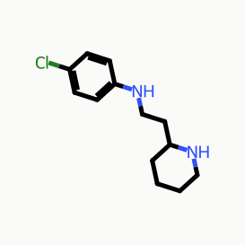 Clc1ccc(NCCC2CCCCN2)cc1